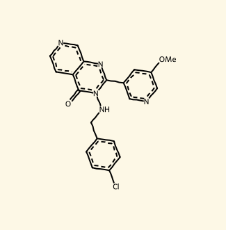 COc1cncc(-c2nc3cnccc3c(=O)n2NCc2ccc(Cl)cc2)c1